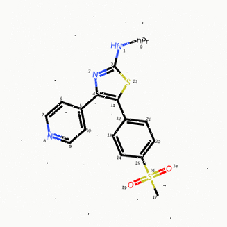 CCCNc1nc(-c2ccncc2)c(-c2ccc(S(C)(=O)=O)cc2)s1